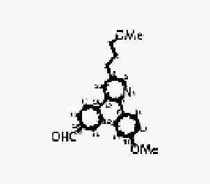 COCCCc1cnc(-c2ccc(OC)cc2)c(-c2ccc(C=O)cc2)c1